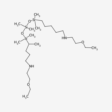 CCOCCNCCCCC[Si](C)(C)O[Si](C)(C)O[Si](C)(C)C(C)CCCNCCOCC